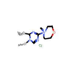 COC1N=C([N+]2(C)CCOCC2)N=CN1OC.[Cl-]